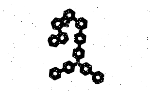 c1ccc(-c2ccc(N(c3ccc(-c4ccccc4)cc3)c3ccc(-c4ccc(-c5cccc(-c6cccc7c6sc6c(-c8cccc9ccccc89)cccc67)c5)cc4)cc3)cc2)cc1